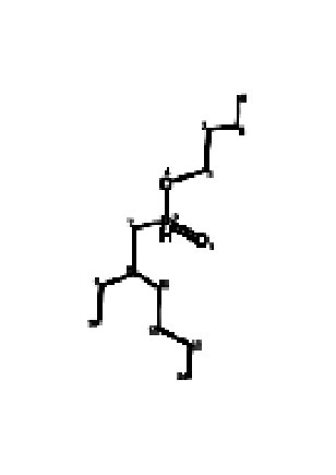 CCCCO[PH](=O)CC(CC)CCCC